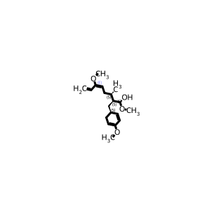 C=C/C(=C\C[C@H](C)[C@H](C[C@H]1C=CC(OC)=CC1)[C@@H](O)OC)OC